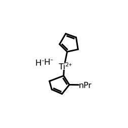 CCCC1=[C]([Ti+2][C]2=CC=CC2)CC=C1.[H-].[H-]